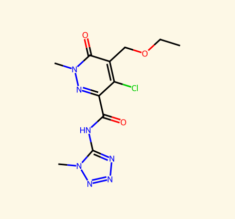 CCOCc1c(Cl)c(C(=O)Nc2nnnn2C)nn(C)c1=O